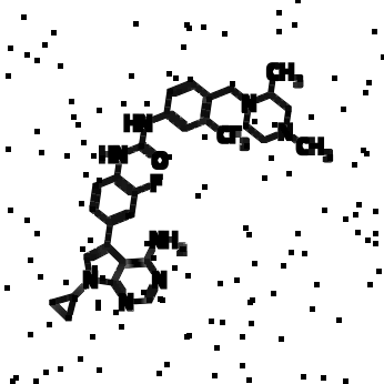 CC1CN(C)CCN1Cc1ccc(NC(=O)Nc2ccc(-c3cn(C4CC4)c4ncnc(N)c34)cc2F)cc1C(F)(F)F